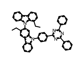 CCc1cc2c3ccccc3n(-c3ccc(-c4nc(-c5ccccc5)nc(-c5ccccc5)n4)cc3)c2cc1-n1c2ccccc2c2cccc(CC)c21